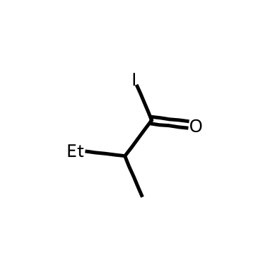 CCC(C)C(=O)I